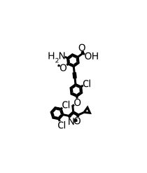 COc1c(N)cc(C(=O)O)cc1C#Cc1ccc(OCc2c(-c3c(Cl)cccc3Cl)noc2C2CC2)cc1Cl